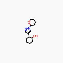 OC1CCCC[C@@H]1c1cnn(C2CCCCO2)c1